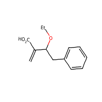 C=C(C(=O)O)C(Cc1ccccc1)OCC